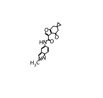 Cn1cc2cc(NC(=O)c3coc4c3C(=O)CC3(CC3)C4)ccc2n1